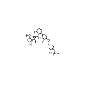 CCC(F)(CC)CN1CCC(COc2ccc(-c3cccc(F)c3C(=O)NC(=O)[C@H]3NCC[C@@H]3O)cc2F)CC1